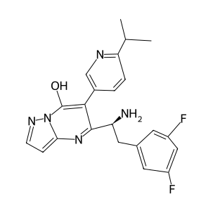 CC(C)c1ccc(-c2c([C@@H](N)Cc3cc(F)cc(F)c3)nc3ccnn3c2O)cn1